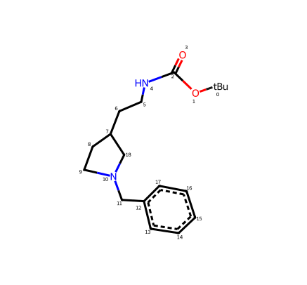 CC(C)(C)OC(=O)NCCC1CCN(Cc2ccccc2)C1